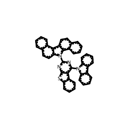 c1ccc2c(c1)ccc1c2c2ccc3ccccc3c2n1-c1nc(-n2c3ccccc3c3ccccc32)c2c(n1)sc1ccccc12